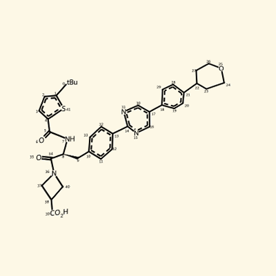 CC(C)(C)c1ccc(C(=O)N[C@@H](Cc2ccc(-c3ncc(-c4ccc(C5CCOCC5)cc4)cn3)cc2)C(=O)N2CC(C(=O)O)C2)s1